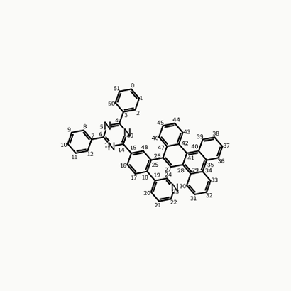 c1ccc(-c2nc(-c3ccccc3)nc(-c3ccc(-c4cccnc4)c(-c4cc5c6ccccc6c6ccccc6c5c5ccccc45)c3)n2)cc1